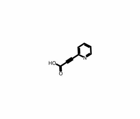 O=C(O)C#Cc1ccccn1